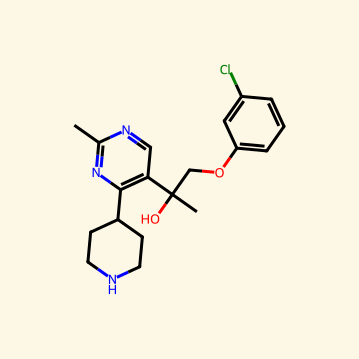 Cc1ncc(C(C)(O)COc2cccc(Cl)c2)c(C2CCNCC2)n1